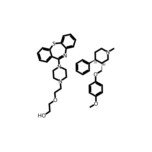 COc1ccc(OC[C@H]2CN(C)CC[C@@H]2c2ccccc2)cc1.OCCOCCN1CCN(C2=Nc3ccccc3Sc3ccccc32)CC1